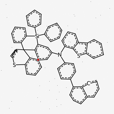 c1ccc([Si]2(c3ccccc3)c3ccccc3C3(c4ccccc4Sc4ccccc43)c3ccc(N(c4ccc(-c5cccc6ccccc56)cc4)c4cccc5c4sc4ccccc45)cc32)cc1